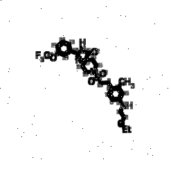 CCOCCNc1ccc(CCS(=O)(=O)N2CCC3(CC2)N=C(c2cccc(OC(F)(F)F)c2)NC3=O)c(C)c1